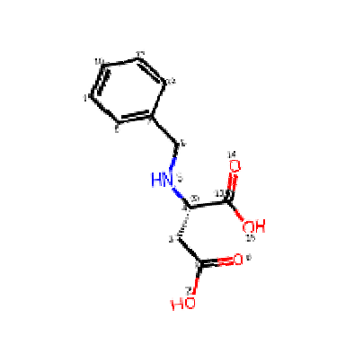 O=C(O)C[C@H](NCc1ccccc1)C(=O)O